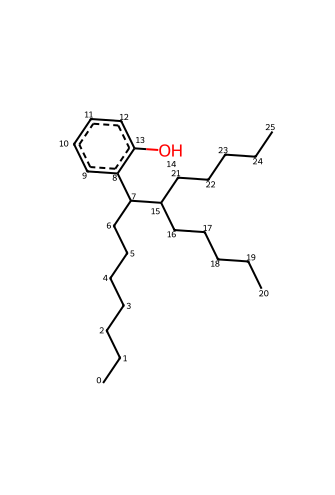 CCCCCCCC(c1ccccc1O)C(CCCCC)CCCCC